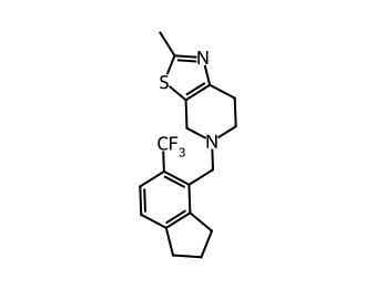 Cc1nc2c(s1)CN(Cc1c(C(F)(F)F)ccc3c1CCC3)CC2